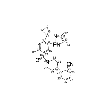 Cc1cc(C2CCC2)c(-c2nc(C)c(C)[nH]2)cc1C(=O)N1CCC(c2ccccc2C#N)CC1